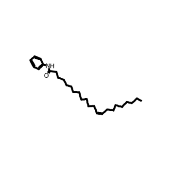 CCCCCCCC/C=C\CCCCCCCCCCCC(=O)Nc1ccccc1